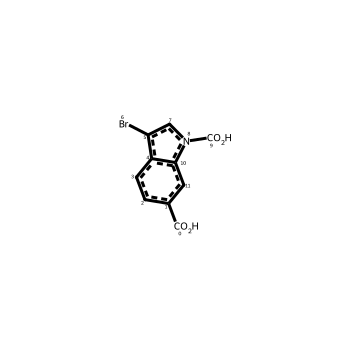 O=C(O)c1ccc2c(Br)cn(C(=O)O)c2c1